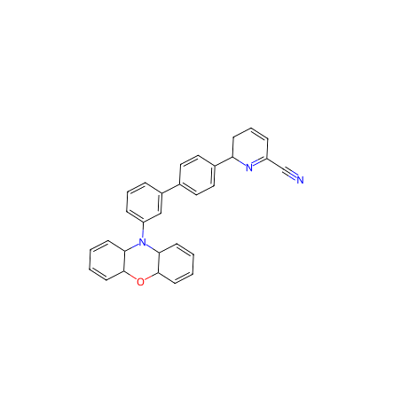 N#CC1=NC(c2ccc(-c3cccc(N4C5C=CC=CC5OC5C=CC=CC54)c3)cc2)CC=C1